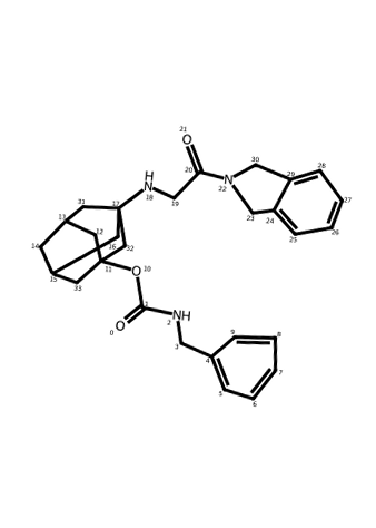 O=C(NCc1ccccc1)OC12CC3CC(CC(NCC(=O)N4Cc5ccccc5C4)(C3)C1)C2